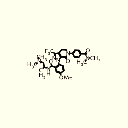 COc1ccc(-n2nc(C(F)(F)F)c3c2C(=O)N(c2ccc(C(=O)N(C)C)cc2)CC3)c(C(=O)NC(C)CN(C)C)c1